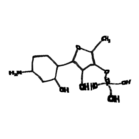 CC1OC(C2CCC(N)CC2O)C(O)C1O[PH](O)(O)O